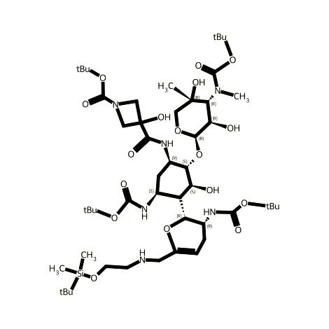 CN(C(=O)OC(C)(C)C)[C@@H]1[C@@H](O)[C@@H](O[C@H]2[C@H](NC(=O)C3(O)CN(C(=O)OC(C)(C)C)C3)C[C@H](NC(=O)OC(C)(C)C)C([C@H]3OC(CNCCO[Si](C)(C)C(C)(C)C)=CC[C@H]3NC(=O)OC(C)(C)C)[C@@H]2O)OC[C@]1(C)O